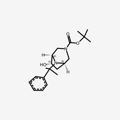 CC(C)(C)OC(=O)N1C[C@H]2C[C@H](O)[C@@H](C1)N2C(C)(C)c1ccccc1